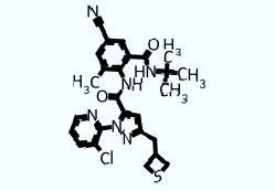 Cc1cc(C#N)cc(C(=O)NC(C)(C)C)c1NC(=O)c1cc(CC2CSC2)nn1-c1ncccc1Cl